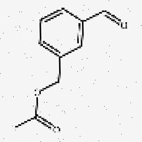 CC(=O)OCc1cccc(C=O)c1